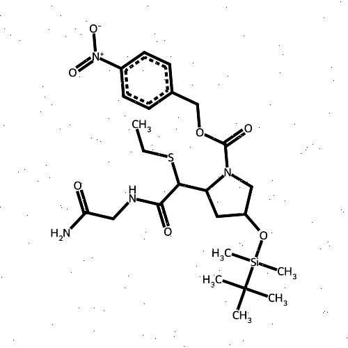 CCSC(C(=O)NCC(N)=O)C1CC(O[Si](C)(C)C(C)(C)C)CN1C(=O)OCc1ccc([N+](=O)[O-])cc1